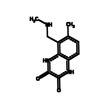 CNCc1c(C)ccc2[nH]c(=O)c(=O)[nH]c12